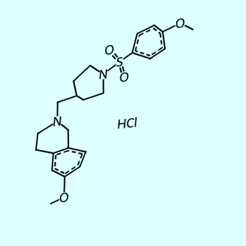 COc1ccc(S(=O)(=O)N2CCC(CN3CCc4cc(OC)ccc4C3)CC2)cc1.Cl